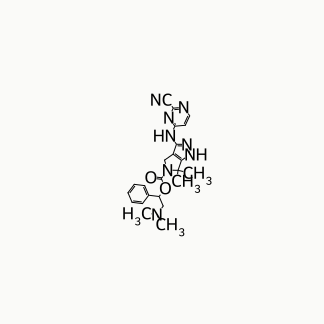 CN(C)CC(OC(=O)N1Cc2c(Nc3ccnc(C#N)n3)n[nH]c2C1(C)C)c1ccccc1